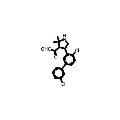 CC1(C)NCC(c2cc(-c3cccc(Cl)c3)ccc2Cl)C1C(=O)C=O